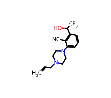 C=CCN1CCN(c2cccc(C(O)C(F)(F)F)c2C#N)CC1